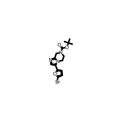 CC(C)(C)OC(=O)N1CCn2c(-c3ccc(Br)o3)cnc2C1